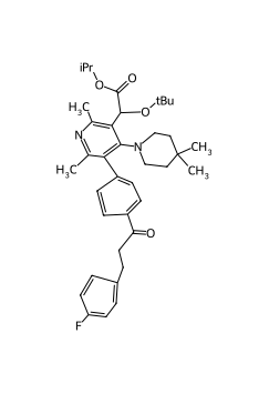 Cc1nc(C)c(C(OC(C)(C)C)C(=O)OC(C)C)c(N2CCC(C)(C)CC2)c1-c1ccc(C(=O)CCc2ccc(F)cc2)cc1